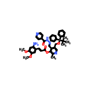 COc1cc(N)c(C=CC(=O)Oc2c(C)ncc(CO[Si](c3ccccc3)(c3ccccc3)C(C)(C)C)c2C=NNC(=O)c2ccncc2)cc1OC